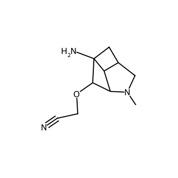 CN1CC2CC3(N)C(OCC#N)C1C23